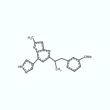 COc1cccc(CN(C)c2cc(-c3cn[nH]c3)n3nc(C)cc3n2)c1